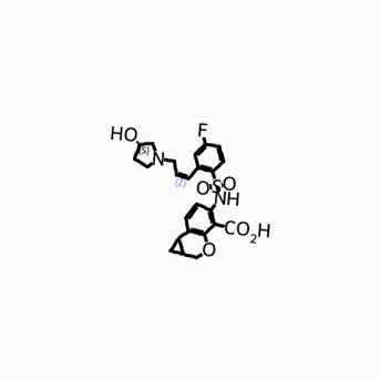 O=C(O)c1c(NS(=O)(=O)c2ccc(F)cc2/C=C\CN2CC[C@H](O)C2)ccc2c1OCC1CC21